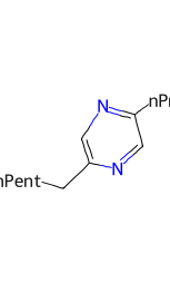 [CH2]CCCCCc1cnc(CCC)cn1